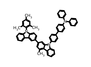 Cc1cc(C)c(-n2c3ccccc3c3cc(-c4cc(C)c5c6ccccc6n(-c6ccc(-c7ccc(N(c8ccccc8)c8ccccc8)cc7)cc6)c5c4)ccc32)c(C)c1